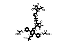 CCCCC(CC)COc1cccc(-c2c3cc(C(C)(C)C(C)(C)C)sc3c(-c3cccc(OCC(CC)CCCC)c3)c3cc(-c4sc(C(C)(C)C(C)(C)c5ccc(-c6sc(C(C)(C)C(C)(C)C)c7c6C(=O)N(C)C7=O)s5)c5c4C(=O)N(C)C5=O)sc23)c1